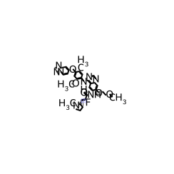 COCCOc1cc2ncnc(Nc3cc(C)c(Oc4ccn5ncnc5c4)cc3OC)c2cc1NC(=O)/C(F)=C/[C@H]1CCCN1C